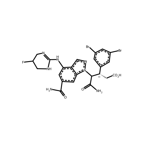 NC(=O)c1cc(NC2=NCC(F)CN2)c2cnn(C(C(N)=O)[C@@H](CC(=O)O)c3cc(Br)cc(Br)c3)c2c1